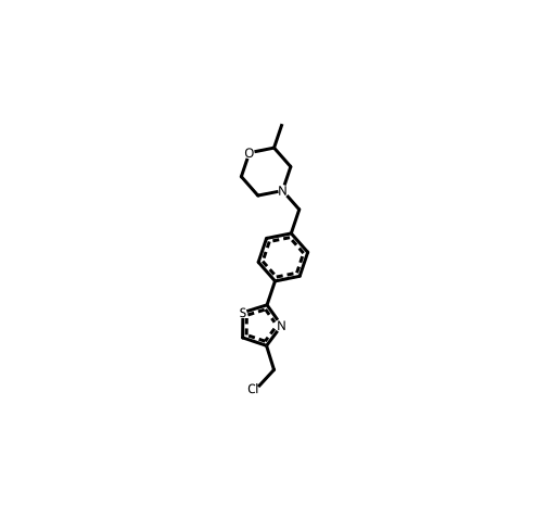 CC1CN(Cc2ccc(-c3nc(CCl)cs3)cc2)CCO1